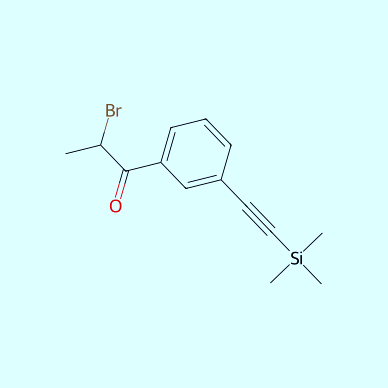 CC(Br)C(=O)c1cccc(C#C[Si](C)(C)C)c1